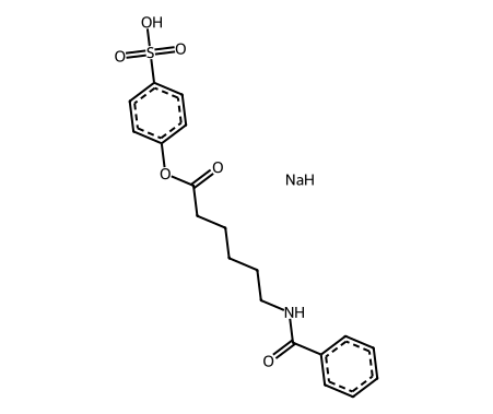 O=C(CCCCCNC(=O)c1ccccc1)Oc1ccc(S(=O)(=O)O)cc1.[NaH]